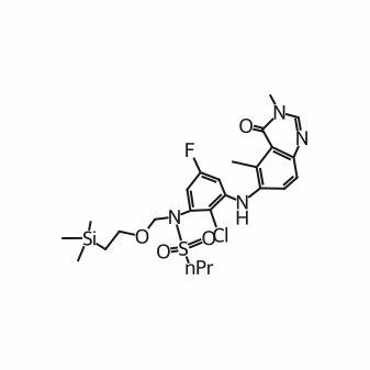 CCCS(=O)(=O)N(COCC[Si](C)(C)C)c1cc(F)cc(Nc2ccc3ncn(C)c(=O)c3c2C)c1Cl